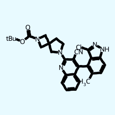 Cc1ccc2[nH]nc(Cl)c2c1-c1c(C#N)c(N2CCC3(CN(C(=O)OC(C)(C)C)C3)C2)nc2ccccc12